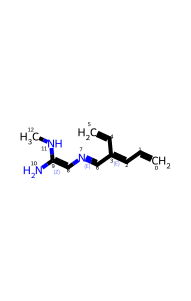 C=C/C=C(C=C)/C=N/C=C(/N)NC